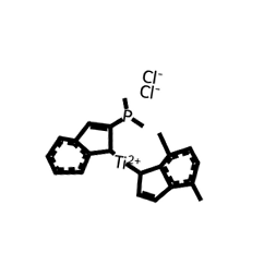 Cc1ccc(C)c2c1C=C[CH]2[Ti+2][CH]1C(P(C)C)=Cc2ccccc21.[Cl-].[Cl-]